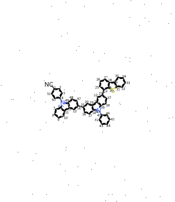 N#Cc1ccc(-n2c3ccccc3c3cc(-c4ccc5c(c4)c4cc(-c6cccc7c6sc6ccccc67)ccc4n5-c4ccccc4)ccc32)cc1